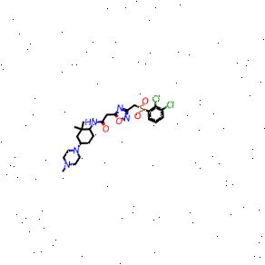 CN1CCN(C2CCC(NC(=O)Cc3nc(CS(=O)(=O)c4cccc(Cl)c4Cl)no3)C(C)(C)C2)CC1